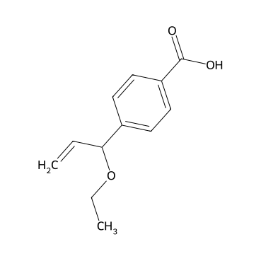 C=CC(OCC)c1ccc(C(=O)O)cc1